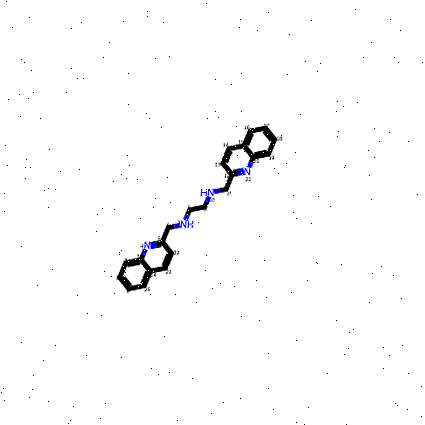 c1ccc2nc(CNCCNCc3ccc4ccccc4n3)ccc2c1